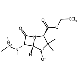 C[PH2](C)N[C@@H]1C(=O)N2[C@@H]1[S+]([O-])C(C)(C)[C@@H]2C(=O)OCC(Cl)(Cl)Cl